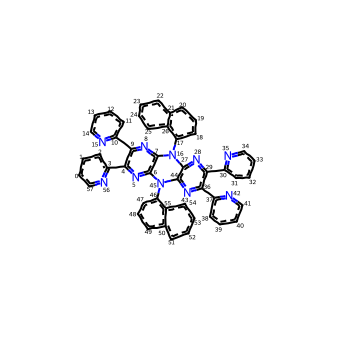 c1ccc(-c2nc3c(nc2-c2ccccn2)N(c2cccc4ccccc24)c2nc(-c4ccccn4)c(-c4ccccn4)nc2N3c2cccc3ccccc23)nc1